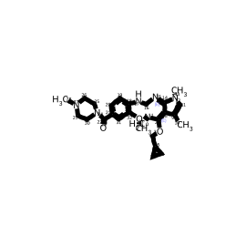 C=N/C(OCC1CC1)=C1/C(C)=CN(C)/C1=N/CNc1ccc(C(=O)N2CCN(C)CC2)cc1OC